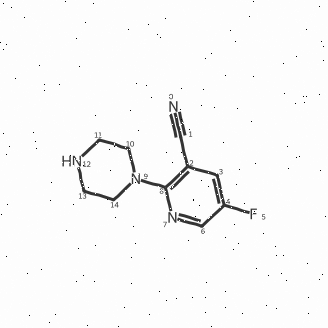 N#Cc1cc(F)cnc1N1CCNCC1